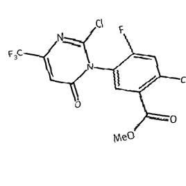 COC(=O)c1cc(-n2c(Cl)nc(C(F)(F)F)cc2=O)c(F)cc1Cl